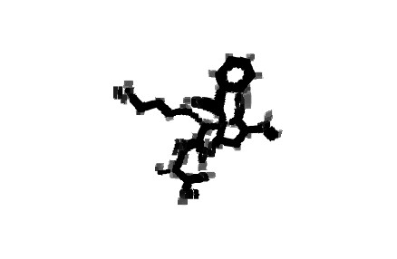 COC1CC(=O)[N+](C(=O)c2ccccc2)([C@@H](CCCCN)C(=O)N[C@@H](C)C(=O)O)C1=O